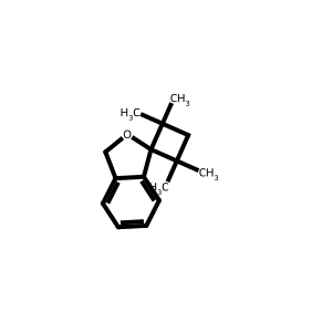 CC1(C)CC(C)(C)C12OCc1ccccc12